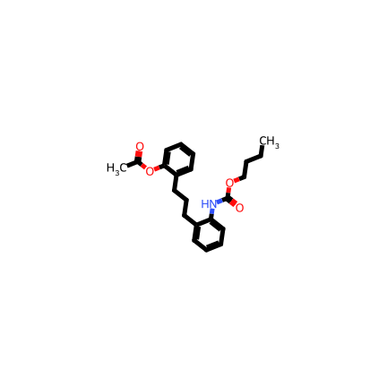 CCCCOC(=O)Nc1ccccc1CCCc1ccccc1OC(C)=O